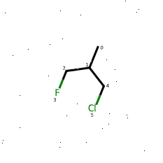 CC(CF)CCl